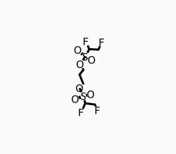 O=S(=O)(OCCCOS(=O)(=O)C(F)CF)C(F)CF